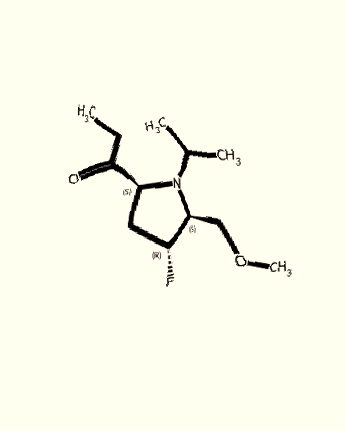 CCC(=O)[C@@H]1C[C@@H](F)[C@H](COC)N1C(C)C